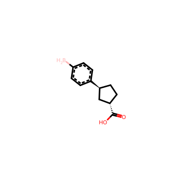 Bc1ccc([C@H]2CC[C@H](C(=O)O)C2)cc1